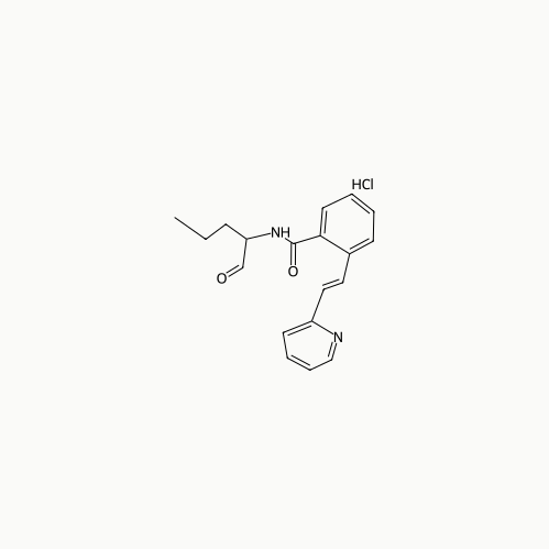 CCCC(C=O)NC(=O)c1ccccc1C=Cc1ccccn1.Cl